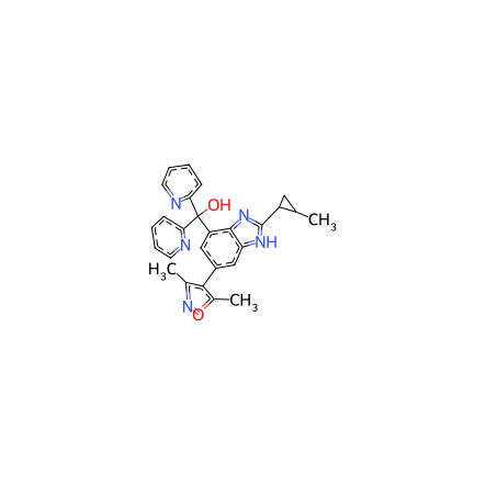 Cc1noc(C)c1-c1cc(C(O)(c2ccccn2)c2ccccn2)c2nc(C3CC3C)[nH]c2c1